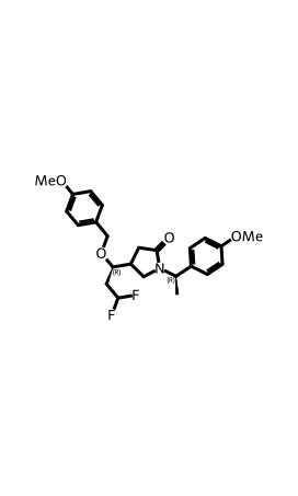 COc1ccc(CO[C@H](CC(F)F)C2CC(=O)N([C@H](C)c3ccc(OC)cc3)C2)cc1